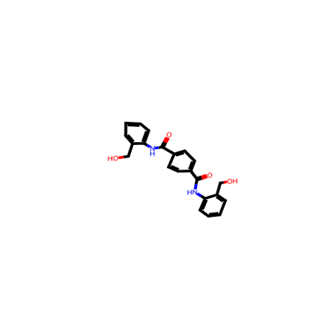 O=C(Nc1ccccc1CO)c1ccc(C(=O)Nc2ccccc2CO)cc1